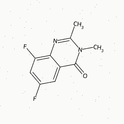 Cc1nc2c(F)cc(F)cc2c(=O)n1C